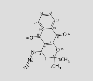 CC1(C)CC(N=[N+]=[N-])C2=C(O1)C(=O)c1ccccc1C2=O